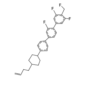 C=CCCC1CCC(c2ccc(-c3ccc(-c4cc(F)c(CF)c(F)c4)c(F)c3)cc2)CC1